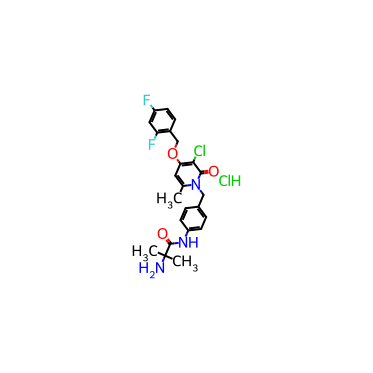 Cc1cc(OCc2ccc(F)cc2F)c(Cl)c(=O)n1Cc1ccc(NC(=O)C(C)(C)N)cc1.Cl